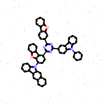 c1ccc(-n2c3ccccc3c3cc(-c4nc(-c5ccc6c(c5)oc5ccccc56)nc(-c5ccc(-n6c7ccccc7c7cc8ccccc8cc76)c6oc7ccccc7c56)n4)ccc32)cc1